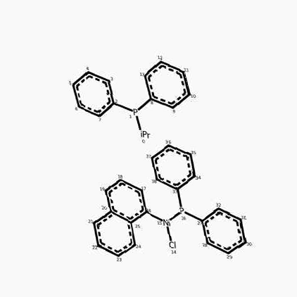 CC(C)P(c1ccccc1)c1ccccc1.[Cl][Ni]([c]1cccc2ccccc12)[P](c1ccccc1)c1ccccc1